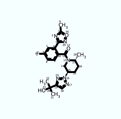 Cc1nc(-c2cc(F)ccc2C(=O)N2C[C@H](n3ncc(C(C)(C)O)n3)CC[C@H]2C)no1